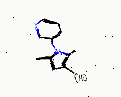 Cc1cc(C=O)c(C)n1-c1cccnc1